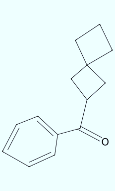 O=C(c1ccccc1)C1CC2(CCC2)C1